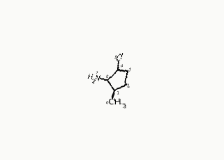 CC1CCC(Cl)C1N